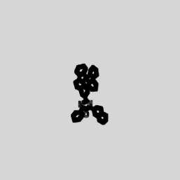 c1ccc(C2(c3ccccc3)c3ccccc3-c3ccc4cc(-c5nc(-c6ccc7ccccc7c6)c6oc7ccccc7c6n5)ccc4c32)cc1